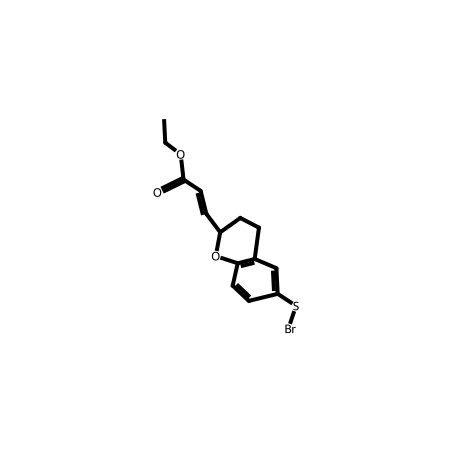 CCOC(=O)/C=C/C1CCc2cc(SBr)ccc2O1